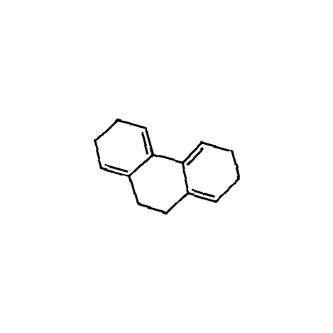 C1=C2CCC3=CCCC=C3C2=CCC1